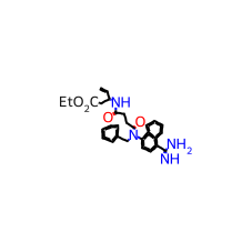 C=CC(CC(=O)OCC)NC(=O)CCC(=O)N(Cc1ccccc1)c1ccc(C(=N)N)c2ccccc12